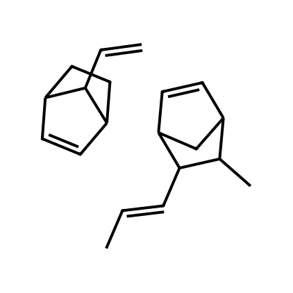 C=CC1C2C=CC1CC2.CC=CC1C2C=CC(C2)C1C